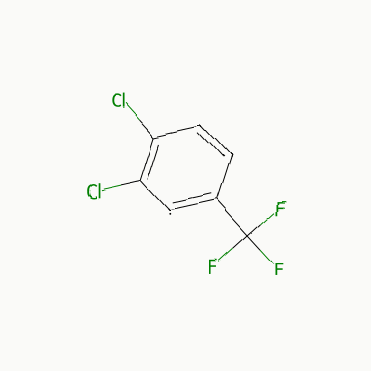 FC(F)(F)c1[c]c(Cl)c(Cl)cc1